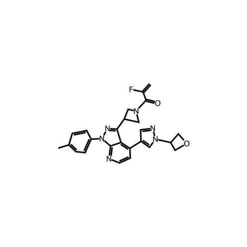 C=C(F)C(=O)N1CC(c2nn(-c3ccc(C)cc3)c3nccc(-c4cnn(C5COC5)c4)c23)C1